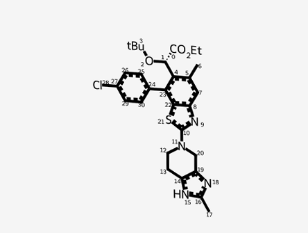 CCOC(=O)[C@@H](OC(C)(C)C)c1c(C)cc2nc(N3CCc4[nH]c(C)nc4C3)sc2c1-c1ccc(Cl)cc1